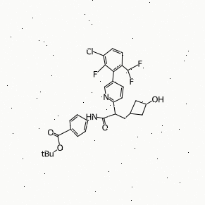 CC(C)(C)OC(=O)c1ccc(NC(=O)C(CC2CC(O)C2)c2ccc(-c3c(C(F)F)ccc(Cl)c3F)cn2)cc1